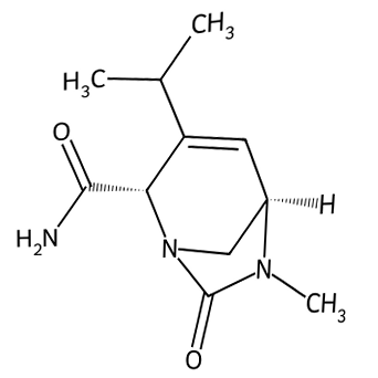 CC(C)C1=C[C@@H]2CN(C(=O)N2C)[C@@H]1C(N)=O